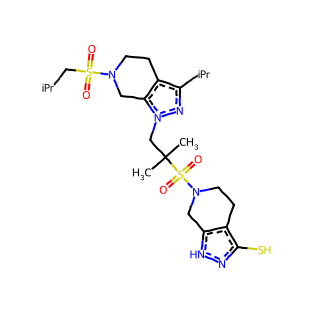 CC(C)CS(=O)(=O)N1CCc2c(C(C)C)nn(CC(C)(C)S(=O)(=O)N3CCc4c(S)n[nH]c4C3)c2C1